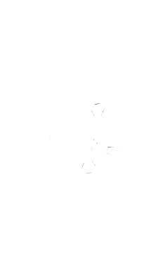 CC(=O)SCC(C(=O)NC(COCc1ccccc1)C(=O)O)C(C)c1ccccc1